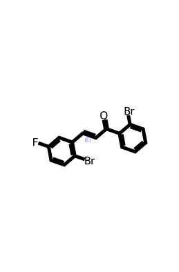 O=C(/C=C/c1cc(F)ccc1Br)c1ccccc1Br